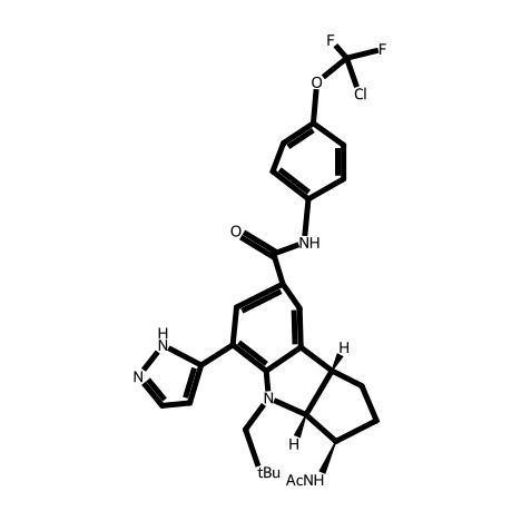 CC(=O)N[C@@H]1CC[C@H]2c3cc(C(=O)Nc4ccc(OC(F)(F)Cl)cc4)cc(-c4ccn[nH]4)c3N(CC(C)(C)C)[C@@H]12